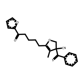 CC1=C(CCCCC(=O)c2ccco2)OCC1(C#N)C(=S)c1ccccc1